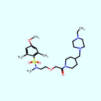 CCN1CCN(CC2CCN(C(=O)COCCN(C)S(=O)(=O)c3c(C)cc(OC)cc3C)CC2)CC1